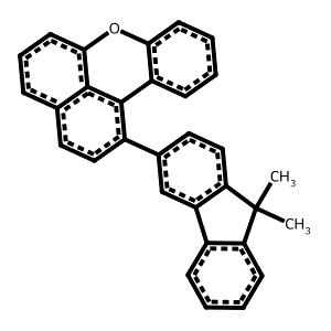 CC1(C)c2ccccc2-c2cc(-c3ccc4cccc5c4c3-c3ccccc3O5)ccc21